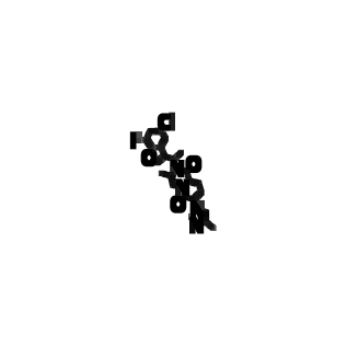 Cc1cn(-c2ccc3c(=O)n(C(C)c4coc5c(F)cc(Cl)cc45)c(C)cn3c2=O)cn1